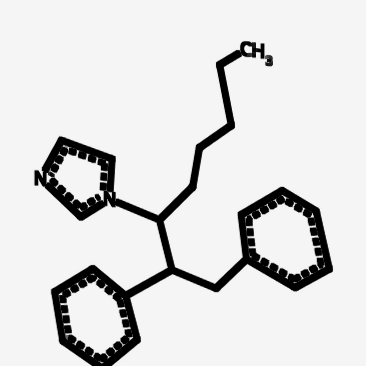 CCCCCC(C(Cc1ccccc1)c1ccccc1)n1ccnc1